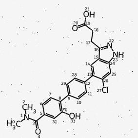 CN(C)C(=O)c1ccc(-c2ccc(-c3cc4c(CCC(=O)O)n[nH]c4cc3Cl)cc2)c(O)c1